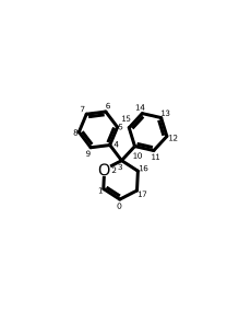 C1=COC(c2ccccc2)(c2ccccc2)CC1